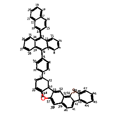 C1=C(c2ccc(-c3c4ccccc4c(-c4ccc5ccccc5c4)c4ccccc34)cc2)CC2C(=C1)Oc1cc3ccc4c5ccccc5sc4c3cc12